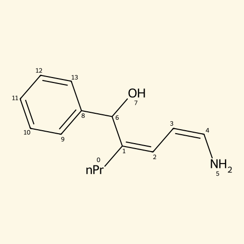 CCC/C(=C/C=C\N)C(O)c1ccccc1